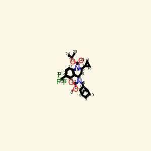 COC(=O)N(CC1CC2C=CC1C2)C1CC(C2CC2)N(C(=O)OC(C)C)c2ccc(C(F)(F)F)cc21